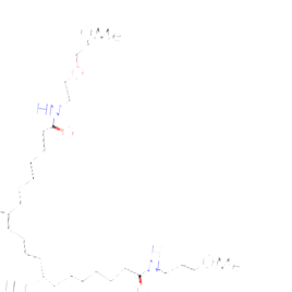 COCCCNC(=O)CCCCCCC(C)CCCCC(C)CCCCCCC(=O)NCCOCCOC